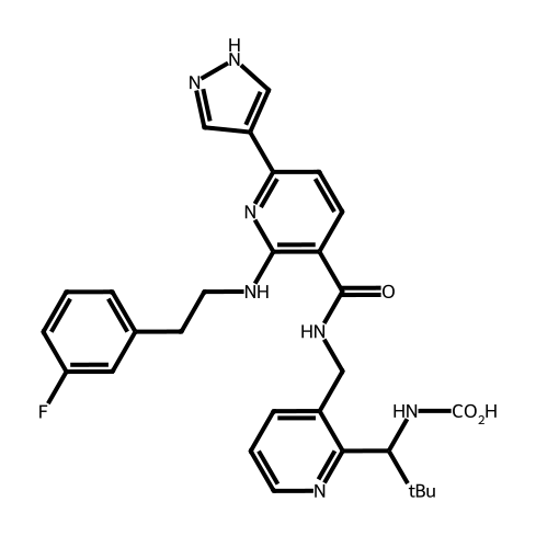 CC(C)(C)C(NC(=O)O)c1ncccc1CNC(=O)c1ccc(-c2cn[nH]c2)nc1NCCc1cccc(F)c1